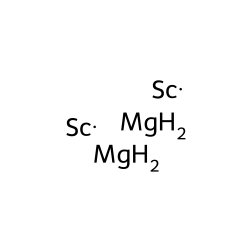 [MgH2].[MgH2].[Sc].[Sc]